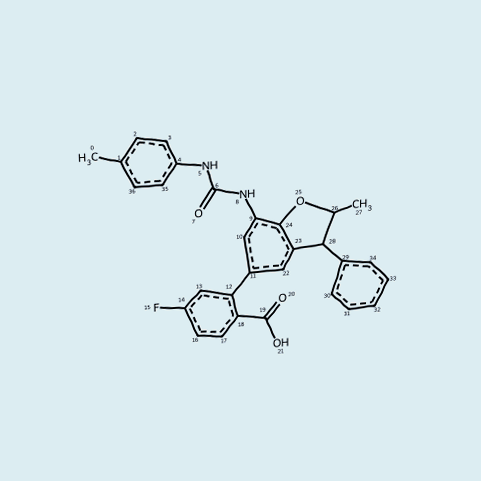 Cc1ccc(NC(=O)Nc2cc(-c3cc(F)ccc3C(=O)O)cc3c2OC(C)C3c2ccccc2)cc1